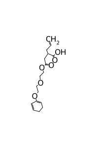 C=CCC(CC(=O)OCCOCCOC1=CCCC=C1)C(=O)O